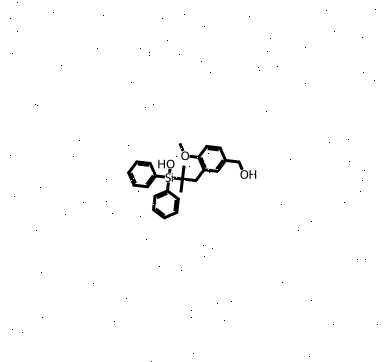 COc1ccc(CO)cc1CC(C)(C)[Si](O)(c1ccccc1)c1ccccc1